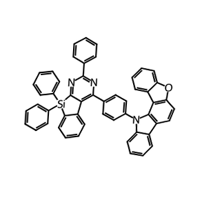 c1ccc(-c2nc(-c3ccc(-n4c5ccccc5c5ccc6oc7ccccc7c6c54)cc3)c3c(n2)[Si](c2ccccc2)(c2ccccc2)c2ccccc2-3)cc1